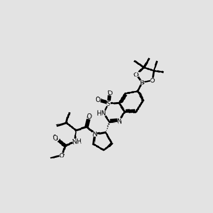 COC(=O)N[C@H](C(=O)N1CCC[C@H]1C1=NC2=CCC(B3OC(C)(C)C(C)(C)O3)C=C2S(=O)(=O)N1)C(C)C